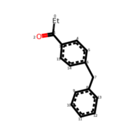 CCC(=O)c1ccc(Cc2ccccc2)cc1